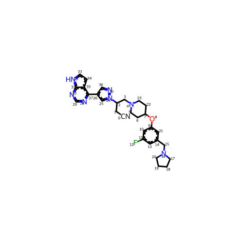 N#CCC(CN1CCC(Oc2cc(F)cc(CN3CCCC3)c2)CC1)n1cc(-c2ncnc3[nH]ccc23)cn1